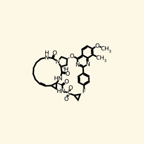 COc1ccc2c(O[C@@H]3C[C@H]4C(=O)N[C@]5(C(=O)NS(=O)(=O)C6CC6)CC5/C=C\CCCCCNC(=O)N4C3)nc(-c3ccc(F)cc3)nc2c1C